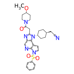 COC1CCN(C(=O)Cc2nc3cnc4c(ccn4S(=O)(=O)c4ccccc4)c3n2[C@H]2CC[C@H](CC#N)CC2)CC1